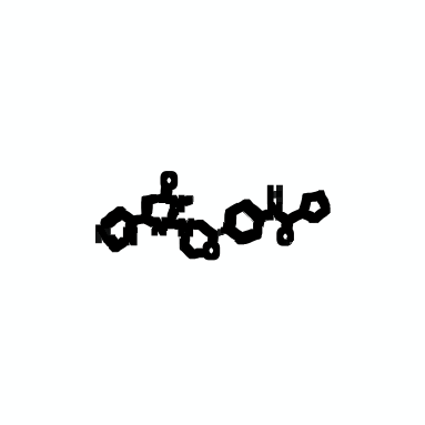 Cn1c(N2CCO[C@@H](c3ccc(NC(=O)C4CCCC4)cc3)C2)nc(-c2ccncn2)cc1=O